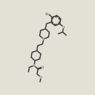 CCN(C(=O)COC)C1CCC(CCN2CCC(Cc3cc(OC(C)C)ccc3Br)CC2)CC1